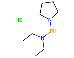 CCN(CC)PN1CCCC1.Cl